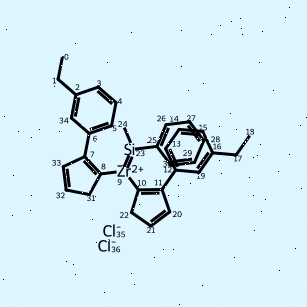 CCc1cccc(C2=[C]([Zr+2]([C]3=C(c4cccc(CC)c4)C=CC3)=[Si](C)c3ccccc3)CC=C2)c1.[Cl-].[Cl-]